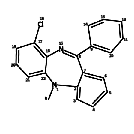 CN1c2ccccc2C(c2ccccc2)=Nc2c(Cl)cccc21